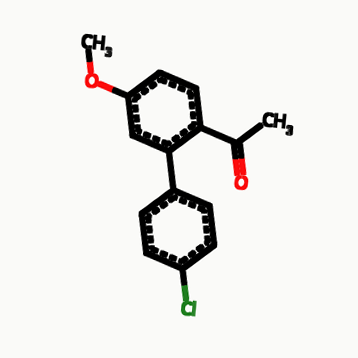 COc1ccc(C(C)=O)c(-c2ccc(Cl)cc2)c1